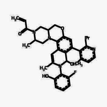 C=CC(=O)N1CC2COc3cc(-c4c(C)ccnc4C(C)C)c4c(c3N2CC1C)C=C(C)N(c1c(O)cccc1F)C4O